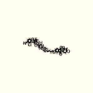 CN1C(=O)CCC(N2C(=O)c3ccc(OCCCCN4CCN(c5ncc(C(=O)NC6C(C)(C)C(Oc7ccc(C#N)c(Cl)c7)C6(C)C)cn5)CC4)cc3C2=O)C1=O